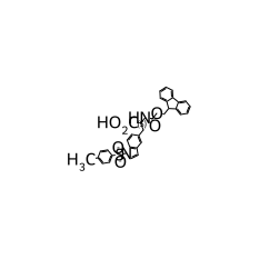 Cc1ccc(S(=O)(=O)n2ccc3cc(C[C@H](NC(=O)OCC4c5ccccc5-c5ccccc54)C(=O)O)ccc32)cc1